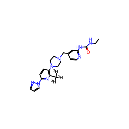 [2H]C([2H])([2H])c1nc(-n2cccn2)ccc1N1CCN(Cc2ccnc(NC(=O)NCC)c2)CC1